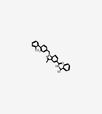 CCC(NC(=O)c1ccc2c(c1)c(C)nn2Cc1ccc(-c2ccccc2C(=O)O)cc1)c1ccccc1